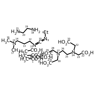 CC(=O)O.CC(=O)O.CC(=O)O.CC(=O)O.CCN=C=NCCCN(C)C.NCCN.O=C(O)CN(CCN(CC(=O)O)CC(=O)O)CC(=O)O